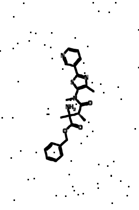 Cc1nc(-c2cccnc2)sc1N(C)C(=O)[C@@H](C)C(C)(N)C(=O)OCc1ccccc1